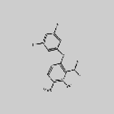 CSc1ccc(Oc2cc(F)cc(F)c2)c(C(F)F)c1C#N